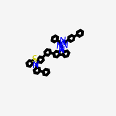 C1=CC(c2ccccc2)CC=C1c1nc(-c2ccccc2)nc(-n2c3ccccc3c3ccc(-c4cccc(-c5ccc6c(c5)Sc5ccccc5N6c5cccc(-c6ccccc6)c5)c4)cc32)n1